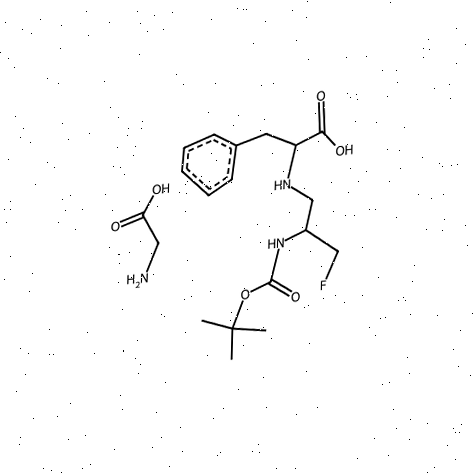 CC(C)(C)OC(=O)NC(CF)CNC(Cc1ccccc1)C(=O)O.NCC(=O)O